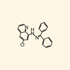 Clc1cc(NN=C(c2ccccc2)c2ccccc2)c2ncccc2c1